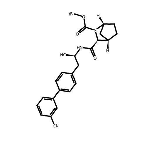 CC(C)(C)OC(=O)N1[C@@H]2CC[C@@H](C2)[C@H]1C(=O)N[C@H](C#N)Cc1ccc(-c2cccc(C#N)c2)cc1